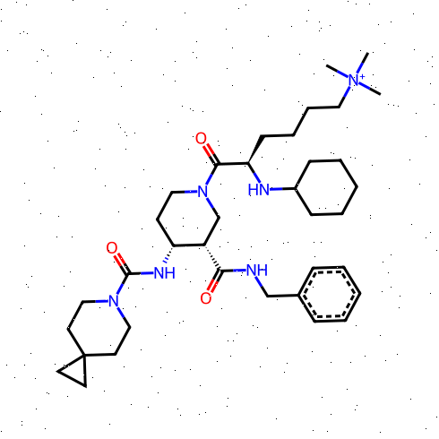 C[N+](C)(C)CCCC[C@@H](NC1CCCCC1)C(=O)N1CC[C@@H](NC(=O)N2CCC3(CC2)CC3)[C@@H](C(=O)NCc2ccccc2)C1